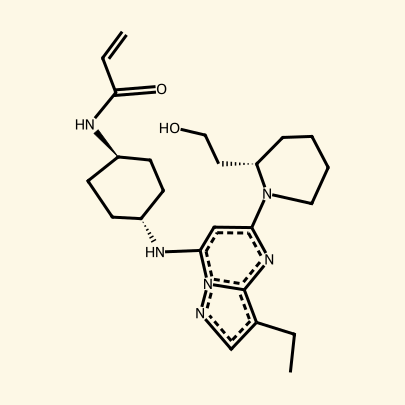 C=CC(=O)N[C@H]1CC[C@H](Nc2cc(N3CCCC[C@H]3CCO)nc3c(CC)cnn23)CC1